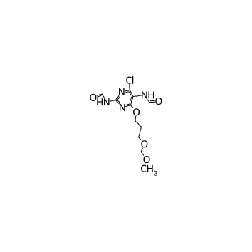 COCOCCCOc1nc(NC=O)nc(Cl)c1NC=O